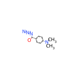 CN(C)c1ccc(C(=O)N=[N+]=[N-])cc1